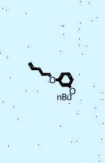 C=CCCCOc1cccc(OCCCC)c1